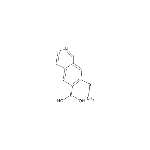 CSc1cc2cnccc2cc1B(O)O